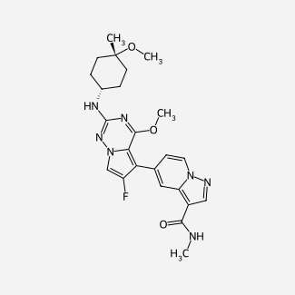 CNC(=O)c1cnn2ccc(-c3c(F)cn4nc(N[C@H]5CC[C@@](C)(OC)CC5)nc(OC)c34)cc12